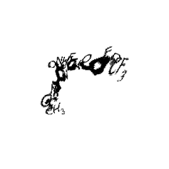 C[S+]([O-])Cn1cc(-c2cnc(O[C@H]3CCN(C(=O)Cc4ccc(OC(F)(F)F)c(F)c4)C[C@@H]3F)c(C(N)=O)c2)cn1